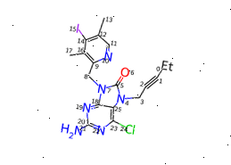 CCC#CCn1c(=O)n(Cc2ncc(C)c(I)c2C)c2nc(N)nc(Cl)c21